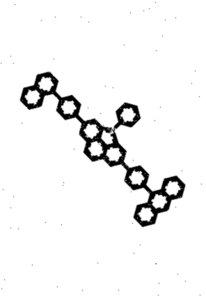 c1ccc(-n2c3cc(-c4ccc(-c5cccc6ccccc56)cc4)cc4ccc5cc(-c6ccc(-c7c8ccccc8cc8ccccc78)cc6)cc2c5c43)cc1